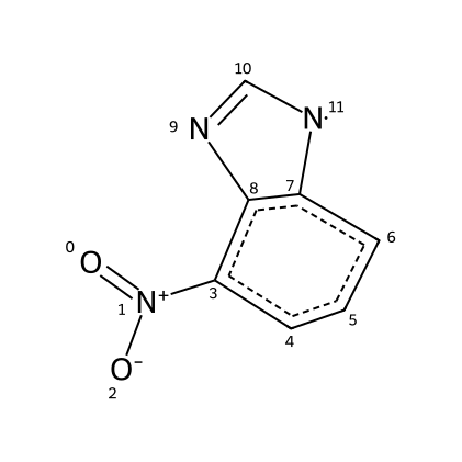 O=[N+]([O-])c1cccc2c1N=C[N]2